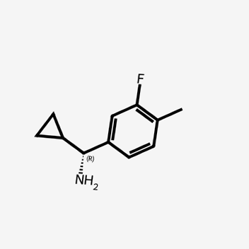 Cc1ccc([C@H](N)C2CC2)cc1F